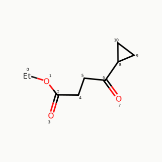 CCOC(=O)CCC(=O)C1CC1